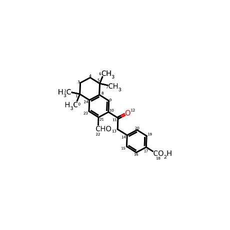 CC1(C)CCC(C)(C)c2cc(C(=O)Cc3ccc(C(=O)O)cc3)c(C=O)cc21